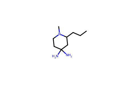 CCCC1CC(N)(N)CCN1C